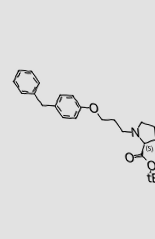 CC(C)(C)OC(=O)[C@@H]1CCCN1CCCOc1ccc(Cc2ccccc2)cc1